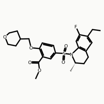 CCc1cc2c(cc1F)N(S(=O)(=O)c1ccc(OCC3CCOCC3)c(C(=O)OC)c1)[C@@H](C)CC2